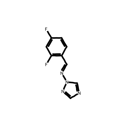 Fc1ccc(C=Nn2cncn2)c(F)c1